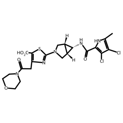 Cc1[nH]c(C(=O)N[C@@H]2[C@@H]3CN(c4nc(CC(=O)N5CCOCC5)c(C(=O)O)s4)C[C@@H]32)c(Cl)c1Cl